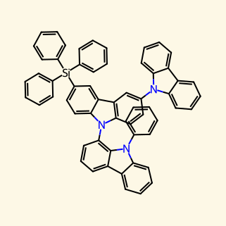 c1ccc(-n2c3ccccc3c3cccc(-n4c5ccc(-n6c7ccccc7c7ccccc76)cc5c5cc([Si](c6ccccc6)(c6ccccc6)c6ccccc6)ccc54)c32)cc1